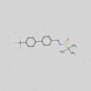 CC(C)(C)[S+]([O-])/N=C/c1ccc(-c2ccc(C(F)(F)F)cc2)cc1